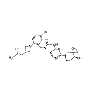 CC(C)c1ccc(N2CC(C[S+](C)[O-])C2)c2cnc(Nc3ccnc(N4CC[C@H](O)[C@](C)(F)C4)n3)cc12